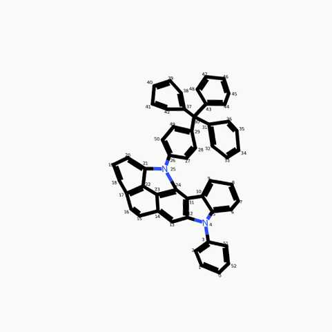 c1ccc(-n2c3ccccc3c3c2cc2ccc4cccc5c4c2c3n5-c2ccc(C(c3ccccc3)(c3ccccc3)c3ccccc3)cc2)cc1